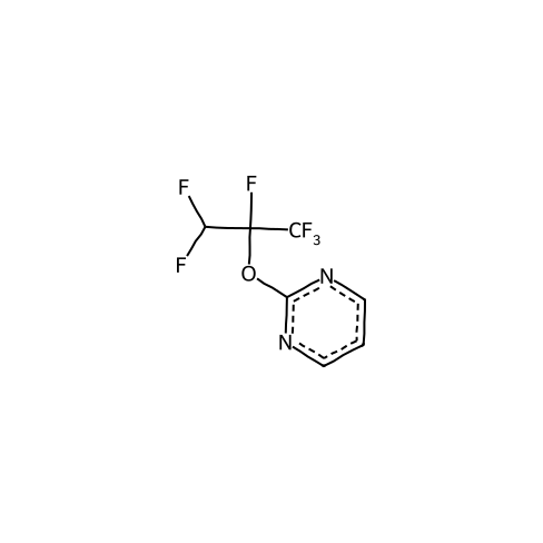 FC(F)C(F)(Oc1ncccn1)C(F)(F)F